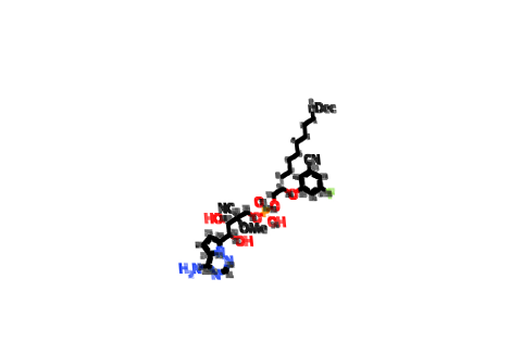 CCCCCCCCCCCCCCCCCC[C@@H](COP(=O)(O)OC[C@@](C#N)(OC)[C@@H](O)[C@@H](O)c1ccc2c(N)ncnn12)Oc1cc(F)cc(C#N)c1